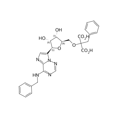 O=C(O)C(Cc1ccccc1)(OC[C@H]1O[C@@H](c2cnc3c(NCc4ccccc4)ncnn23)[C@H](O)[C@@H]1O)C(=O)O